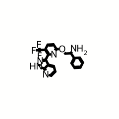 NC(COc1ccc(C(F)(F)F)c(-c2n[nH]c3ncccc23)n1)c1ccccc1